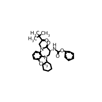 Cc1cccc2c1N(C1CCCCC1)C[C@@H](NC(=O)Oc1ccccc1)C(=O)N2CC(=O)C(C)(C)C